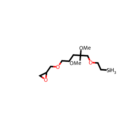 COC(CCCOCC1CO1)(COCC[SiH3])OC